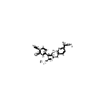 Cc1nn(Cc2ccc(C(N)=S)nc2)c(C)c1-c1ccc(C#N)c(Cl)c1